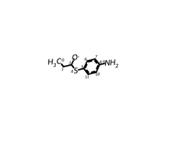 CCC([O])Sc1ccc(N)cc1